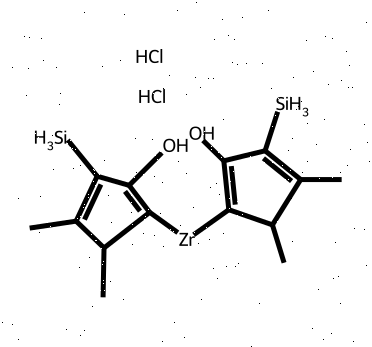 CC1=C([SiH3])C(O)=[C]([Zr][C]2=C(O)C([SiH3])=C(C)C2C)C1C.Cl.Cl